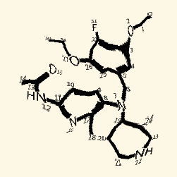 CCOc1cc(CN(c2ccc(NC(C)=O)nc2C)C2CCNCC2)cc(OCC)c1F